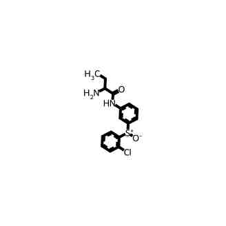 CCC(N)C(=O)Nc1cccc([S+]([O-])c2ccccc2Cl)c1